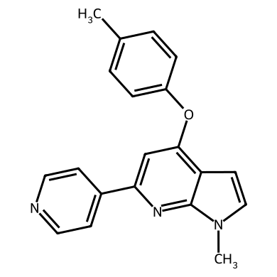 Cc1ccc(Oc2cc(-c3ccncc3)nc3c2ccn3C)cc1